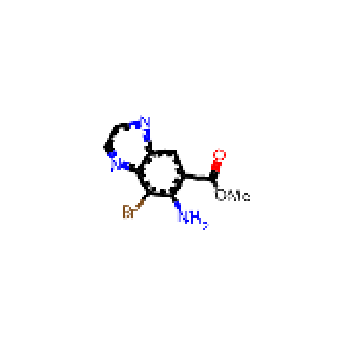 COC(=O)c1cc2nccnc2c(Br)c1N